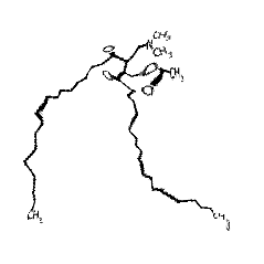 CCCCCCCC/C=C\CCCCCCCC(=O)C(CN(C)C)C(OC(C)=O)C(=O)CCCCCCC/C=C\CCCCCCCC